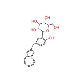 OC[C@H]1O[C@@H](c2cc(Cc3cc4cccccc-4c3)ccc2O)[C@H](O)C(O)[C@@H]1O